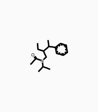 CCC(CN(C(C)=O)C(C)C)C(C)c1ccccc1